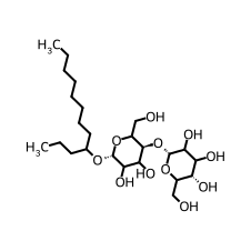 CCCCCCCCC(CCC)O[C@@H]1OC(CO)[C@@H](O[C@H]2OC(CO)[C@@H](O)C(O)C2O)C(O)C1O